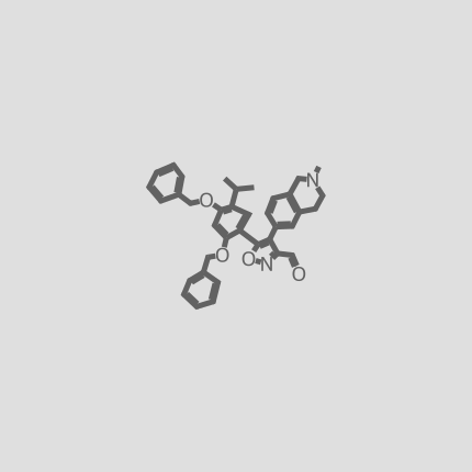 CC(C)c1cc(-c2onc(C=O)c2-c2ccc3c(c2)CCN(C)C3)c(OCc2ccccc2)cc1OCc1ccccc1